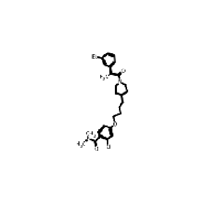 CCc1cccc([C@@H](C(=O)N2CCC(CCCCOc3ccc(C(=O)N(C)C)c(Cl)c3)CC2)C(F)(F)F)c1